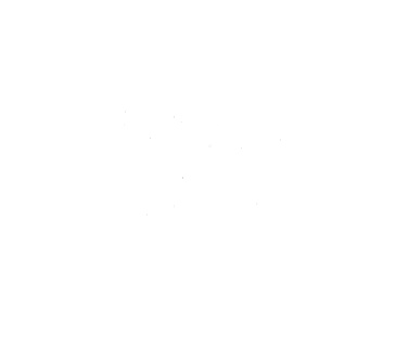 C=CC(=O)O.CC(=CCC(O)CO)C(=O)O